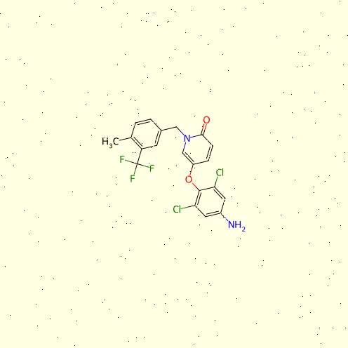 Cc1ccc(Cn2cc(Oc3c(Cl)cc(N)cc3Cl)ccc2=O)cc1C(F)(F)F